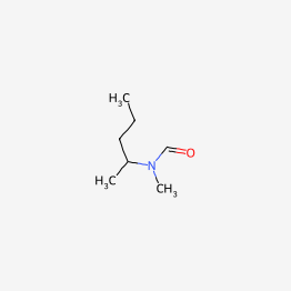 CCCC(C)N(C)C=O